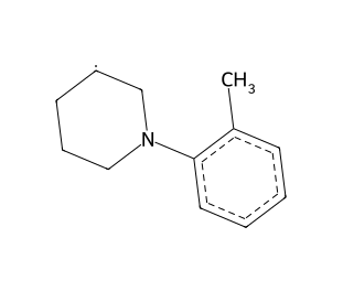 Cc1ccccc1N1C[CH]CCC1